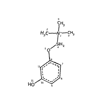 C[N+](C)(C)[SiH2]Oc1cccc(O)c1